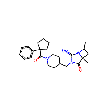 CC1CC2(C)C(=O)N(CC3CCN(C(=O)C4(c5ccccc5)CCCC4)CC3)C(=N)N12